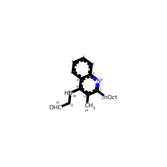 CCCCCCCCc1nc2ccccc2c(BCC=O)c1C